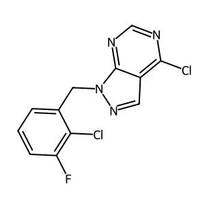 Fc1cccc(Cn2ncc3c(Cl)ncnc32)c1Cl